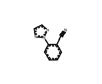 N#Cc1ccccc1-n1nccn1